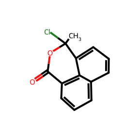 CC1(Cl)OC(=O)c2cccc3cccc1c23